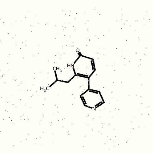 CC(C)Cc1[nH]c(=O)ccc1-c1ccncc1